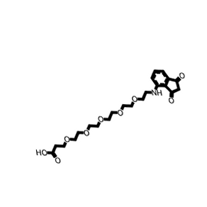 O=C(O)CCOCCOCCOCCOCCOCCNc1cccc2c1C(=O)CC2=O